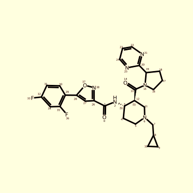 O=C(N[C@H]1CCN(CC2CC2)C[C@@H]1C(=O)N1CCCC1c1ncccn1)c1cc(-c2ccc(F)cc2F)on1